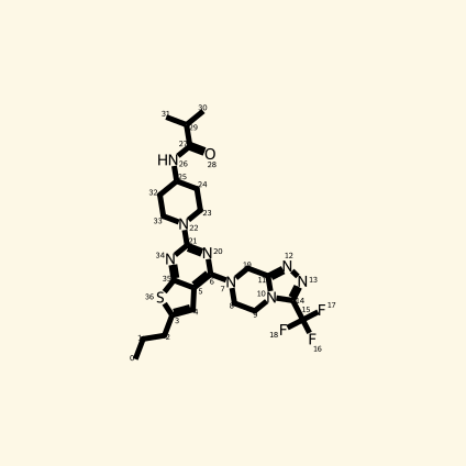 CCCc1cc2c(N3CCn4c(nnc4C(F)(F)F)C3)nc(N3CCC(NC(=O)C(C)C)CC3)nc2s1